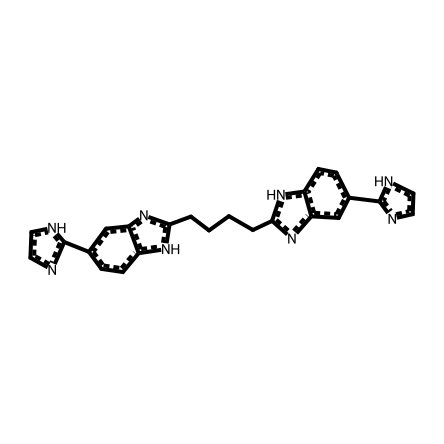 c1c[nH]c(-c2ccc3[nH]c(CCCCc4nc5cc(-c6ncc[nH]6)ccc5[nH]4)nc3c2)n1